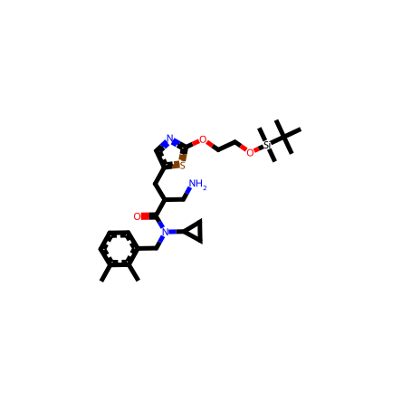 Cc1cccc(CN(C(=O)C(CN)Cc2cnc(OCCO[Si](C)(C)C(C)(C)C)s2)C2CC2)c1C